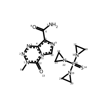 Cn1nnc2c(C(N)=O)ncn2c1=O.S=P(N1CC1)(N1CC1)N1CC1